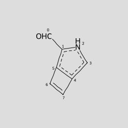 O=Cc1[nH]cc2c1C=C2